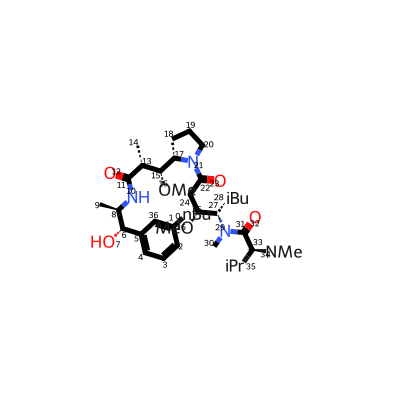 CCCCc1cccc([C@H](O)[C@@H](C)NC(=O)[C@H](C)[C@@H](OC)[C@@H]2CCCN2C(=O)C[C@@H](OC)[C@H]([C@@H](C)CC)N(C)C(=O)[C@@H](NC)C(C)C)c1